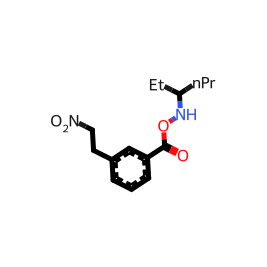 CCCC(CC)NOC(=O)c1cccc(CC[N+](=O)[O-])c1